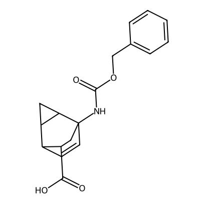 O=C(NC12C=CC(C(C(=O)O)C1)C1CC12)OCc1ccccc1